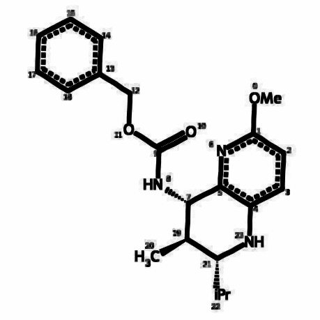 COc1ccc2c(n1)[C@@H](NC(=O)OCc1ccccc1)[C@H](C)[C@@H](C(C)C)N2